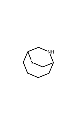 C1CCC2CNC(C1)CS2